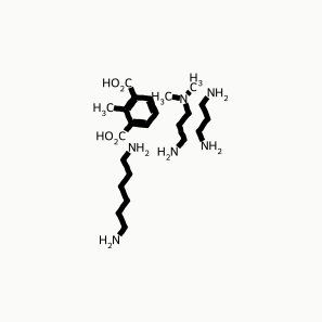 CN(C)CCCN.Cc1c(C(=O)O)cccc1C(=O)O.NCCCCCCN.NCCCN